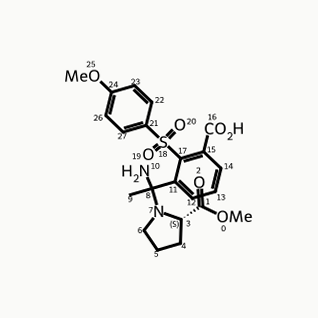 COC(=O)[C@@H]1CCCN1C(C)(N)c1cccc(C(=O)O)c1S(=O)(=O)c1ccc(OC)cc1